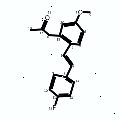 COc1ccc(C=Cc2ccc(F)cc2)c(CC(C)=O)c1